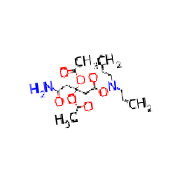 C=CCN(CC=C)OC(=O)CC(CC(N)=O)(OC(C)=O)OC(C)=O